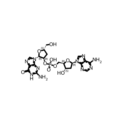 Nc1nc2c(ncn2[C@@H]2O[C@H](CO)C[C@H]2OP(=O)(O)OC[C@H]2O[C@@H](n3cnc4c(N)ncnc43)C[C@@H]2O)c(=O)[nH]1